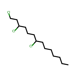 CCCCCCCC(Cl)CCCC(Cl)CCCl